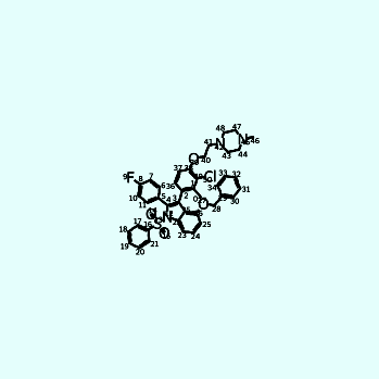 Cc1c(-c2c(-c3ccc(F)cc3)n(S(=O)(=O)c3ccccc3)c3cccc(OCc4ccccc4)c23)ccc(OCCN2CCN(C)CC2)c1Cl